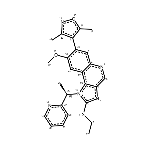 CCSc1nc2cnc3cc(-c4c(C)noc4C)c(OC)cc3c2n1[C@H](C)c1ccccn1